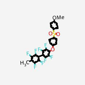 COc1ccc(S(=O)(=O)c2ccc(Oc3c(F)c(F)c(-c4c(F)c(F)c(C)c(F)c4F)c(F)c3F)cc2)cc1